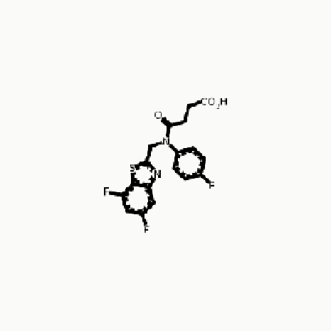 O=C(O)CCC(=O)N(Cc1nc2cc(F)cc(F)c2s1)c1ccc(F)cc1